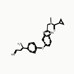 CN(Cc1nc2cc(Oc3ccc(/C(N)=C/C=N)cc3)ccc2[nH]1)C(=O)C1CC1